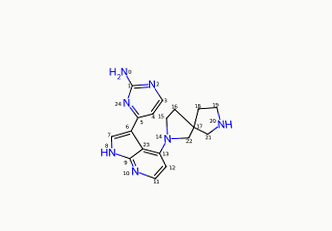 Nc1nccc(-c2c[nH]c3nccc(N4CCC5(CCNC5)C4)c23)n1